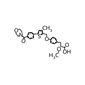 CCOC(Cc1ccc(OCc2sc(-c3ccc(C(=O)N4CCOCC4)cc3)cc2C)cc1)C(=O)O